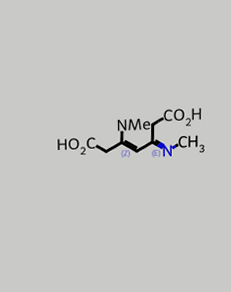 C/N=C(/C=C(/CC(=O)O)NC)CC(=O)O